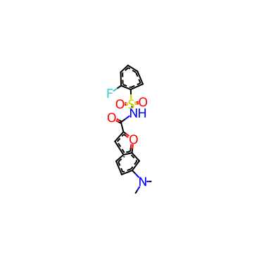 CN(C)c1ccc2cc(C(=O)NS(=O)(=O)c3ccccc3F)oc2c1